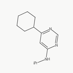 CC(C)Nc1cc(C2CCCCC2)ncn1